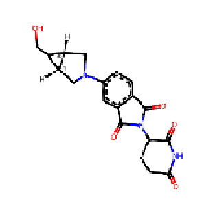 O=C1CCC(N2C(=O)c3ccc(N4C[C@@H]5C(CO)[C@@H]5C4)cc3C2=O)C(=O)N1